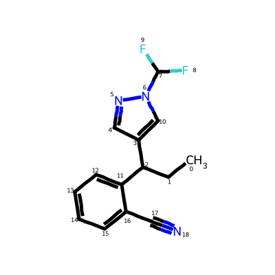 CCC(c1cnn(C(F)F)c1)c1ccccc1C#N